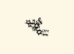 COc1ccc(Nc2nccc(Nc3c4c(nn3C)CCC4)n2)cc1OC.O=C(O)C(F)(F)F